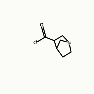 O=C(Cl)C1CN2CCC1C2